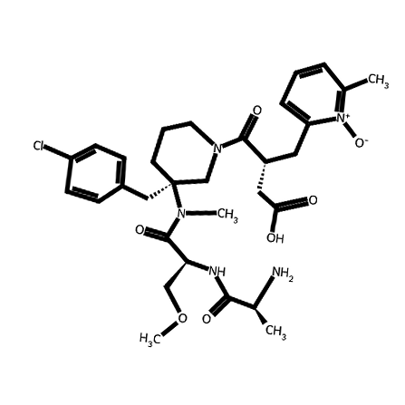 COC[C@H](NC(=O)[C@H](C)N)C(=O)N(C)[C@@]1(Cc2ccc(Cl)cc2)CCCN(C(=O)[C@@H](CC(=O)O)Cc2cccc(C)[n+]2[O-])C1